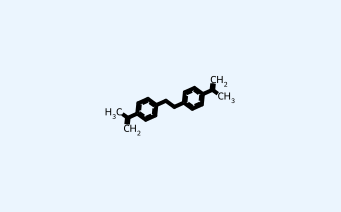 C=C(C)c1ccc(CCc2ccc(C(=C)C)cc2)cc1